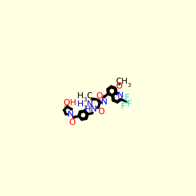 COc1ccc(-c2nc(C(=O)NCc3ccc(C(=O)N4CC[C@H](O)C4)cc3)c([C@H](C)N)o2)c2ccc(C(F)(F)F)nc12